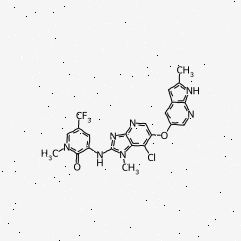 Cc1cc2cc(Oc3cnc4nc(Nc5cc(C(F)(F)F)cn(C)c5=O)n(C)c4c3Cl)cnc2[nH]1